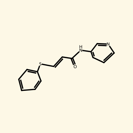 O=C(C=CSc1ccccc1)Nc1cccnc1